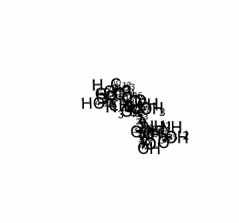 CC1=C(CO)C(=O)OC([C@@H](C)C2CCC3C4COC5(C)C(O)C(SCC(NC(=O)CCC(N)C(=O)O)C(=O)NCC(=O)O)CC(=O)C5(C)C4CCC32C)C1